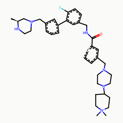 C[C@H]1CN(Cc2cccc(-c3cc(CNC(=O)c4cccc(CN5CCN(C6CC[N+](C)(C)CC6)CC5)c4)ccc3F)c2)CCN1